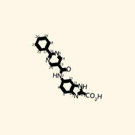 O=C(Nc1ccc2nc(C(=O)O)[nH]c2c1)c1cnc(-c2ccccc2)nc1